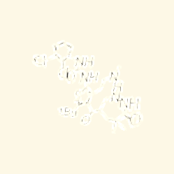 CN(C)CCc1c(NC(=O)Nc2cccc(Cl)c2Cl)sc(C(C)(C)C)c1C(=O)C1CNNC(=O)C(C)(C)C1